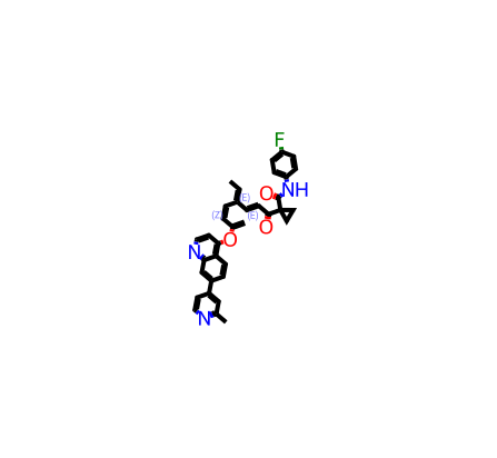 C=C(\C=C/C(/C=C/C(=O)C1(C(=O)Nc2ccc(F)cc2)CC1)=C\C)Oc1ccnc2cc(-c3ccnc(C)c3)ccc12